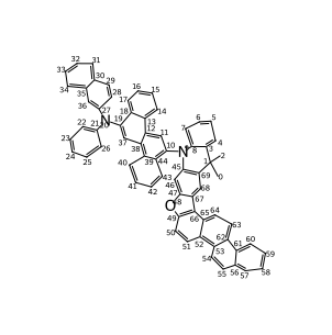 CC1(C)c2ccccc2N(c2cc3c4ccccc4c(N(c4ccccc4)c4ccc5ccccc5c4)cc3c3ccccc23)c2cc3oc4ccc5c6ccc7ccccc7c6ccc5c4c3cc21